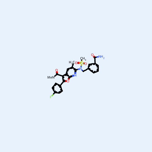 CNC(=O)c1c(-c2ccc(F)cc2)oc2nc(N(Cc3cccc(C(N)=O)c3)S(C)(=O)=O)c(C)cc12